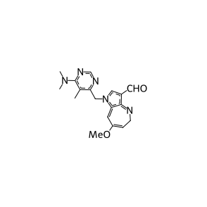 COC1=CCN=c2c(C=O)cn(Cc3ncnc(N(C)C)c3C)c2=C1